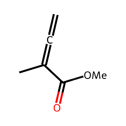 C=C=C(C)C(=O)OC